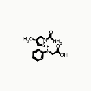 CC1=CSN(C(N)=O)C1.O=C(O)CNc1ccccc1